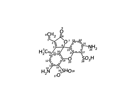 C=CC1=C(C=C)C2(OC1=O)c1ccc(N)c([SH](=O)=O)c1Oc1c2ccc(N)c1S(=O)(=O)O